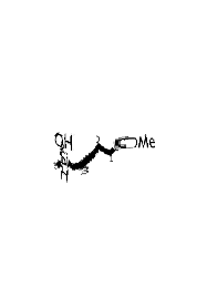 COCCC[SiH](C)O